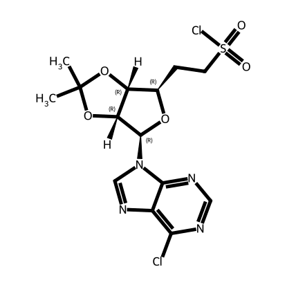 CC1(C)O[C@@H]2[C@H](O1)[C@@H](CCS(=O)(=O)Cl)O[C@H]2n1cnc2c(Cl)ncnc21